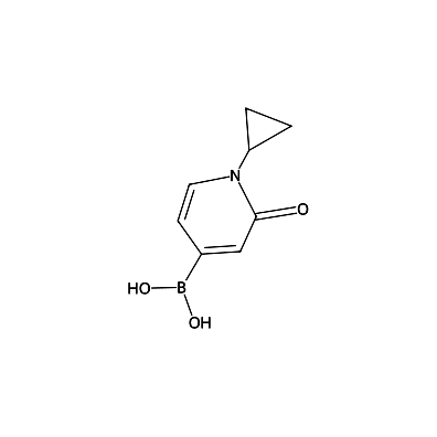 O=c1cc(B(O)O)ccn1C1CC1